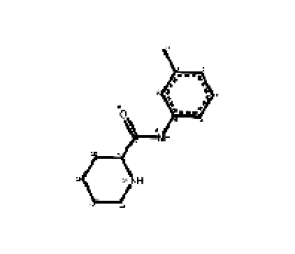 Cc1cccc(NC(=O)C2CCCCN2)c1